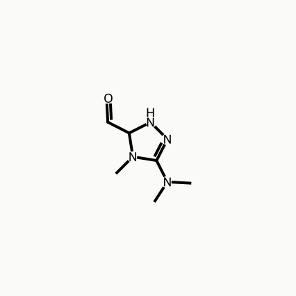 CN(C)C1=NNC(C=O)N1C